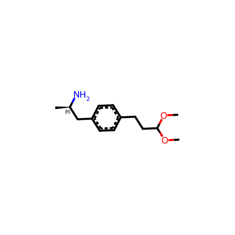 COC(CCc1ccc(C[C@@H](C)N)cc1)OC